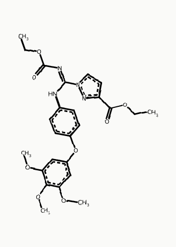 CCOC(=O)/N=C(\Nc1ccc(Oc2cc(OC)c(OC)c(OC)c2)cc1)n1ccc(C(=O)OCC)n1